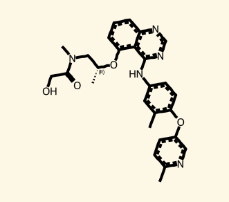 Cc1ccc(Oc2ccc(Nc3ncnc4cccc(O[C@H](C)CN(C)C(=O)CO)c34)cc2C)cn1